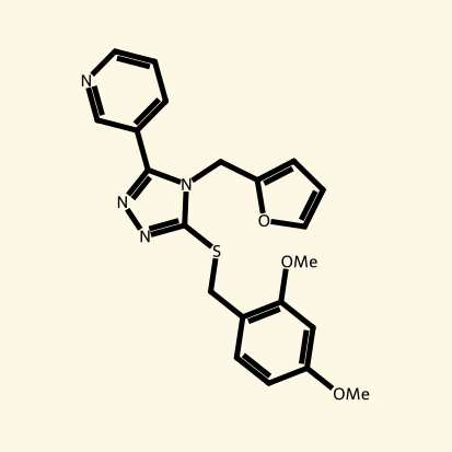 COc1ccc(CSc2nnc(-c3cccnc3)n2Cc2ccco2)c(OC)c1